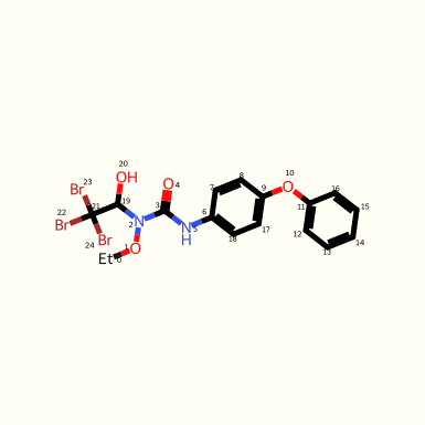 CCON(C(=O)Nc1ccc(Oc2ccccc2)cc1)C(O)C(Br)(Br)Br